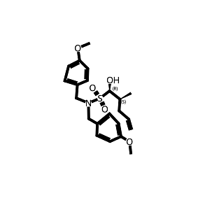 C=CC[C@H](C)[C@H](O)S(=O)(=O)N(Cc1ccc(OC)cc1)Cc1ccc(OC)cc1